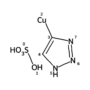 O=S(=O)(O)O.[Cu][c]1c[nH]nn1